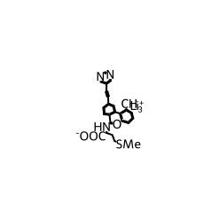 CSCC[C@H](NC(=O)c1ccc(C#Cc2cncnc2)cc1-c1ccccc1C)C(=O)[O-].[Li+]